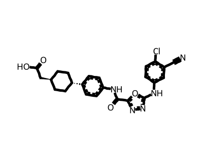 N#Cc1cc(Nc2nnc(C(=O)Nc3ccc([C@H]4CC[C@H](CC(=O)O)CC4)cc3)o2)ccc1Cl